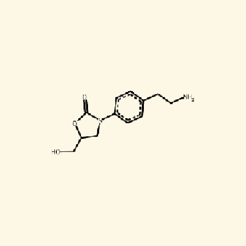 NCCc1ccc(N2CC(CO)OC2=O)cc1